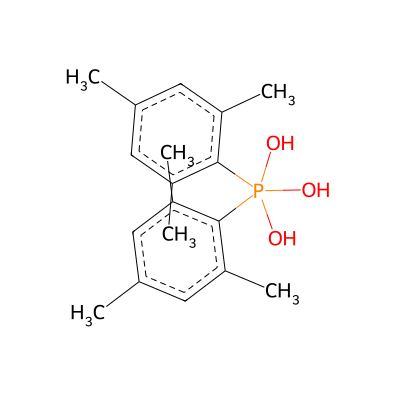 Cc1cc(C)c(P(O)(O)(O)c2c(C)cc(C)cc2C)c(C)c1